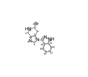 BrC1Cc2c(ncn2-c2n[nH]c3ccccc23)CN1